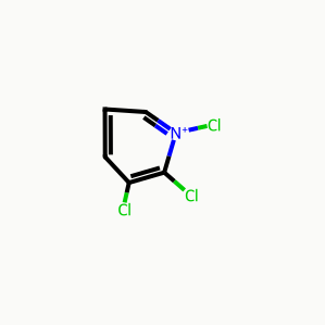 Clc1ccc[n+](Cl)c1Cl